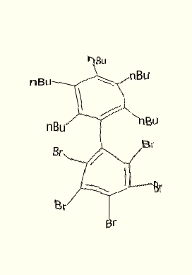 CCCCc1c(CCCC)c(CCCC)c(-c2c(Br)c(Br)c(Br)c(Br)c2Br)c(CCCC)c1CCCC